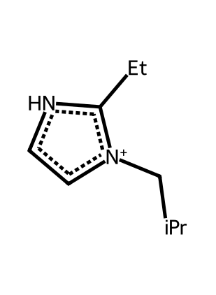 CCc1[nH]cc[n+]1CC(C)C